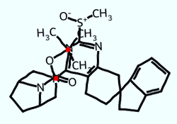 C[S+]([O-])c1nc2c(c(N3CC4CCC(C3)N4C(=O)OC(C)(C)C)n1)CCC1(CCc3ccccc31)C2